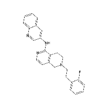 Fc1ccccc1CCN1CCc2c(ccnc2Nc2cnc3ccccc3c2)C1